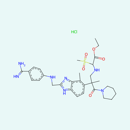 CCOC(=O)C(NCC(C)(C(=O)N1CCCCC1)c1ccc2[nH]c(CNc3ccc(C(=N)N)cc3)nc2c1C)S(C)(=O)=O.Cl